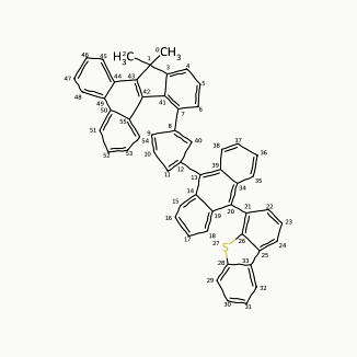 CC1(C)c2cccc(-c3cccc(-c4c5ccccc5c(-c5cccc6c5sc5ccccc56)c5ccccc45)c3)c2-c2c1c1ccccc1c1ccccc21